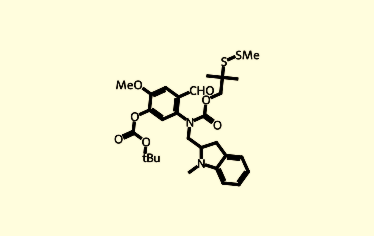 COc1cc(C=O)c(N(CC2Cc3ccccc3N2C)C(=O)OCC(C)(C)SSC)cc1OC(=O)OC(C)(C)C